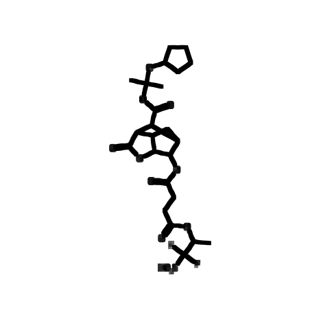 CC(OC(=O)CCC(=O)OC1C2CC3C1OC(=O)C3C2C(=O)OC(C)(C)OC1CCCC1)C(F)(F)S(=O)(=O)O